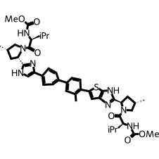 COC(=O)N[C@H](C(=O)N1C[C@@H](C)C[C@@H]1c1nc2cc(-c3ccc(-c4ccc(-c5c[nH]c([C@@H]6C[C@H](C)CN6C(=O)[C@@H](NC(=O)OC)C(C)C)n5)cc4)cc3C)sc2[nH]1)C(C)C